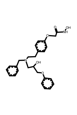 O=C(COc1ccc(CCN(Cc2ccccc2)CC(O)COc2ccccc2)cc1)NO